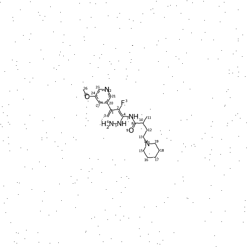 C=C(/C(F)=C(\NN)NC(=O)C(C)CCN1CCCCC1)c1cncc(OC)c1